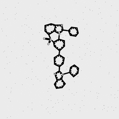 O=S1(=O)c2cc(-c3ccc(-c4nc5ccccc5n4-c4ccccc4)cc3)ccc2-n2c(-c3ccccc3)nc3cccc1c32